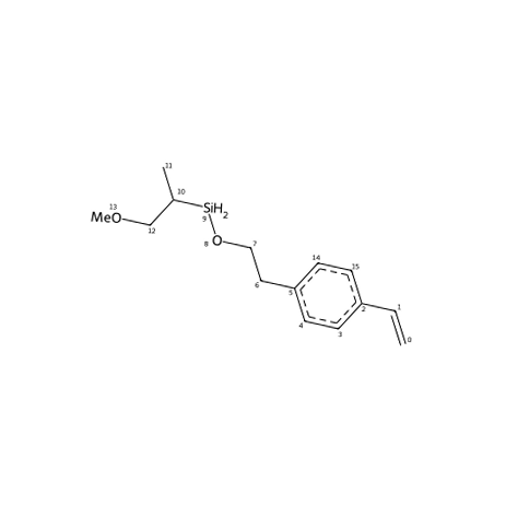 C=Cc1ccc(CCO[SiH2]C(C)COC)cc1